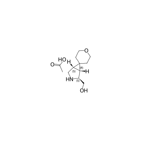 CC(=O)O.OC[C@H]1NC[C@H]2[C@@H]1C21CCOCC1